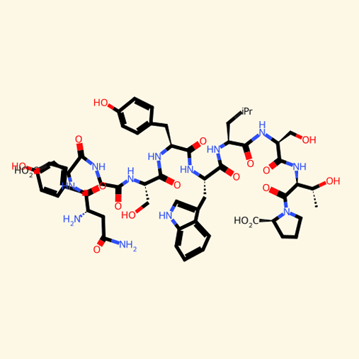 CC(C)C[C@H](NC(=O)[C@H](Cc1c[nH]c2ccccc12)NC(=O)[C@H](Cc1ccc(O)cc1)NC(=O)[C@H](CO)NC(=O)[C@H](Cc1ccc(O)cc1)NC(=O)[C@H](CC(=O)O)NC(=O)[C@@H](N)CC(N)=O)C(=O)N[C@@H](CO)C(=O)N[C@H](C(=O)N1CCC[C@H]1C(=O)O)[C@@H](C)O